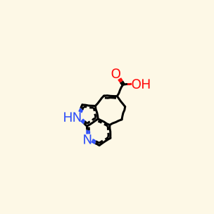 O=C(O)C1=Cc2c[nH]c3nccc(c23)CC1